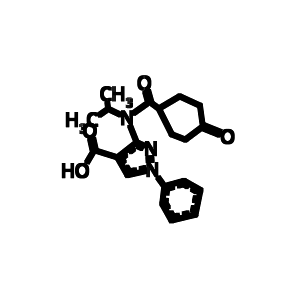 CC(C)N(C(=O)C1CCC(=O)CC1)c1nn(-c2ccccc2)cc1C(=O)O